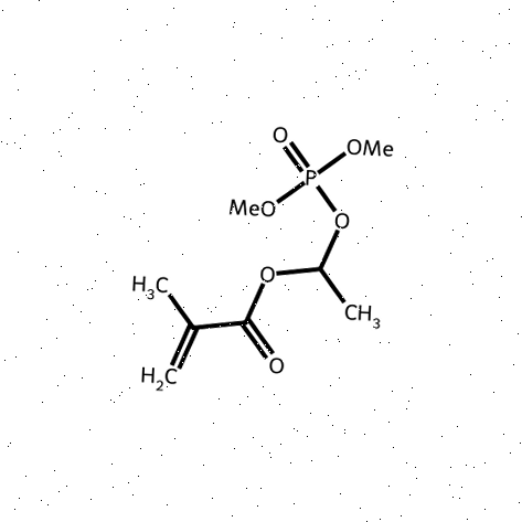 C=C(C)C(=O)OC(C)OP(=O)(OC)OC